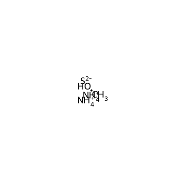 CO.[NH4+].[NH4+].[S-2]